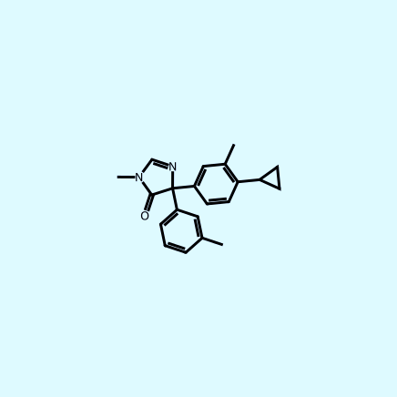 Cc1cccc(C2(c3ccc(C4CC4)c(C)c3)N=CN(C)C2=O)c1